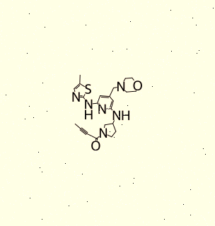 CC#CC(=O)N1CCC(Nc2cc(CN3CCOCC3)cc(Nc3ncc(C)s3)n2)C1